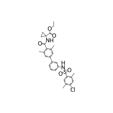 CCOC(=O)C1(NC(=O)c2c(C)cc(-c3cccc(NS(=O)(=O)c4cc(C)c(Cl)cc4C)c3)cc2C)CC1